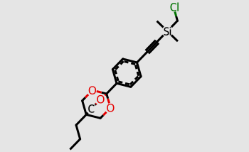 CCCC12COC(c3ccc(C#C[Si](C)(C)CCl)cc3)(OC1)OC2